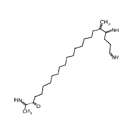 C=C(CCCCCCCCCCCCCCCC(=O)C(C)=N)C(=N)CCC=N